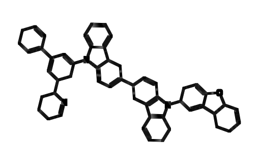 C1=CC(C2=CC(C3CCCC=N3)CC(N3C4=CC=C(C5C=Cc6c(c7c(n6C6C=C8C(=CC6)OC6C=CCCC86)CCC=C7)C5)CC4c4ccccc43)=C2)=CCC1